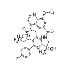 C[C@](O)(CNC(=O)c1cc(OC2CC2)c2ncccc2c1)c1cc(CNS(C)(=O)=O)c(OCC(F)(F)F)c(-c2ccc(F)cc2)n1